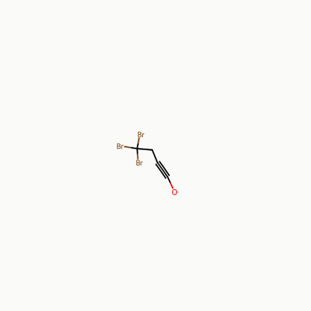 [O]C#CCC(Br)(Br)Br